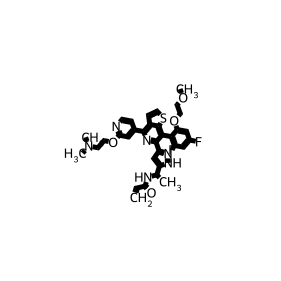 C=CC(=O)NC(C)c1cc(-c2nc(-c3ccnc(OCCN(C)C)c3)c3ccsc3c2-c2c(F)cc(F)cc2OCCOC)n[nH]1